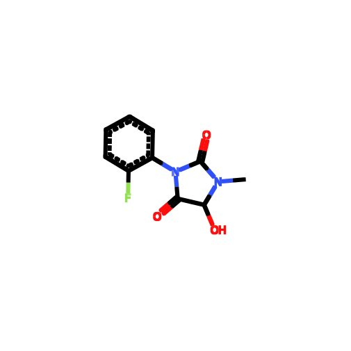 CN1C(=O)N(c2ccccc2F)C(=O)C1O